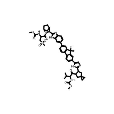 COC(=O)NC(CS(C)(=O)=O)C(=O)N1C2CCC(C2)C1c1nc2ccc(-c3ccc4c(c3)C(F)(F)c3cc(-c5cnc(C6CC7(CC7)CC6C(=O)C(NC(=O)OC)C(C)C)[nH]5)ccc3-4)cc2[nH]1